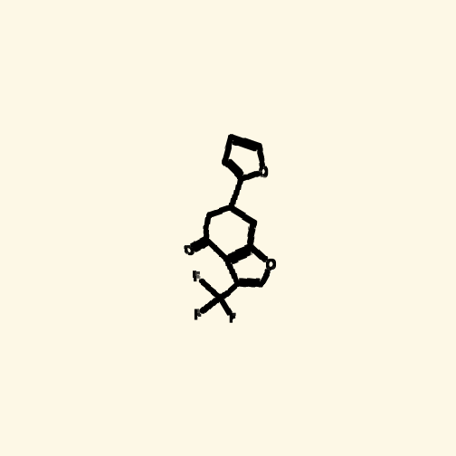 O=C1CC(c2ccco2)Cc2occ(C(F)(F)F)c21